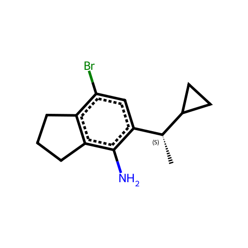 C[C@H](c1cc(Br)c2c(c1N)CCC2)C1CC1